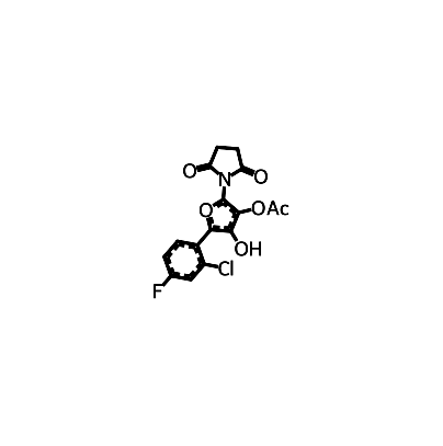 CC(=O)Oc1c(N2C(=O)CCC2=O)oc(-c2ccc(F)cc2Cl)c1O